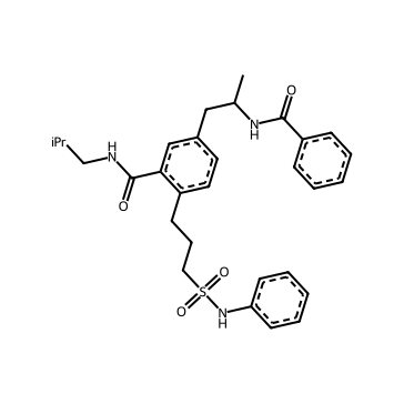 CC(C)CNC(=O)c1cc(CC(C)NC(=O)c2ccccc2)ccc1CCCS(=O)(=O)Nc1ccccc1